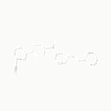 N#Cc1cccc(C2CCN(C(=O)c3cncc(CCc4ccccc4)c3)CC2)c1